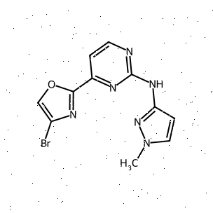 Cn1ccc(Nc2nccc(-c3nc(Br)co3)n2)n1